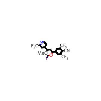 COC(CC(OCI)c1cc(C(F)(F)F)c(C#N)c(C(F)(F)F)c1)c1ccnc(C(F)(F)F)c1